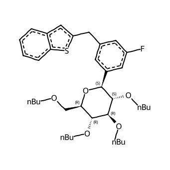 CCCCOC[C@H]1O[C@@H](c2cc(F)cc(Cc3cc4ccccc4s3)c2)[C@H](OCCCC)[C@@H](OCCCC)[C@@H]1OCCCC